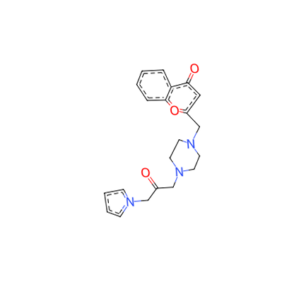 O=C(CN1CCN(Cc2cc(=O)c3ccccc3o2)CC1)Cn1cccc1